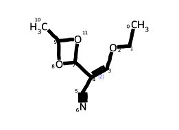 CCO/C=C(/C#N)C1OC(C)O1